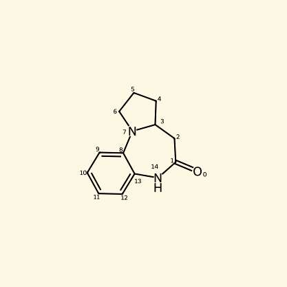 O=C1CC2CCCN2c2ccccc2N1